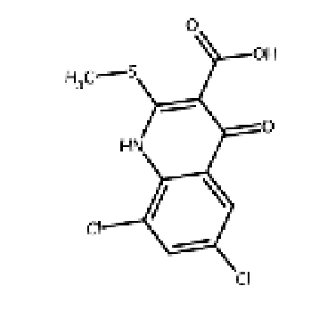 CSc1[nH]c2c(Cl)cc(Cl)cc2c(=O)c1C(=O)O